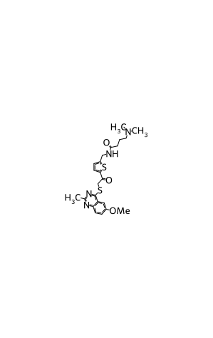 COc1ccc2nc(C)nc(SCC(=O)c3ccc(CNC(=O)CCCN(C)C)s3)c2c1